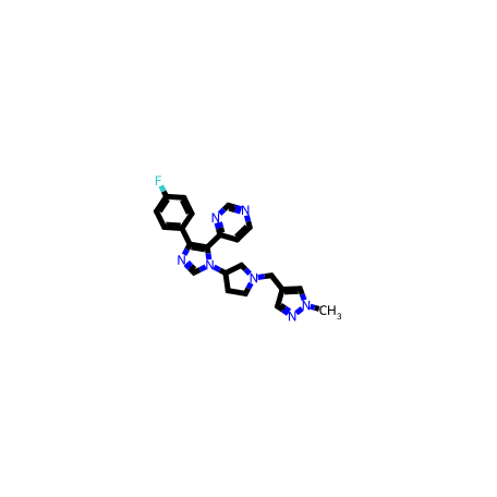 Cn1cc(CN2CCC(n3cnc(-c4ccc(F)cc4)c3-c3ccncn3)C2)cn1